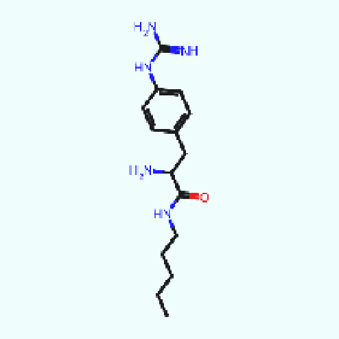 CCCCCNC(=O)[C@@H](N)Cc1ccc(NC(=N)N)cc1